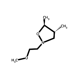 COCCN1C[C@@H](C)[C@H](C)O1